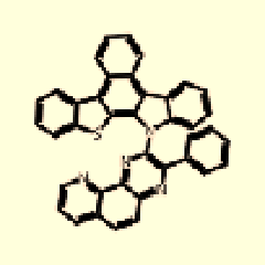 c1ccc(-c2nc3ccc4cccnc4c3nc2-n2c3ccccc3c3c4ccccc4c4c5ccccc5sc4c32)cc1